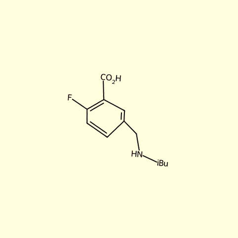 CCC(C)NCc1ccc(F)c(C(=O)O)c1